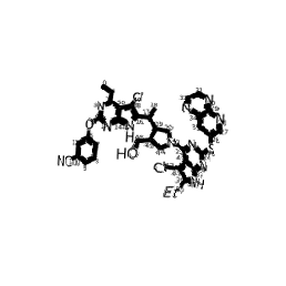 C=Cc1nc(Oc2cccc(C#N)c2)nc2[nH]c(C(C)C3CN(c4nc(Sc5cnc6nccnc6c5)nc5[nH]c(CC)c(Cl)c45)CC3CO)c(Cl)c12